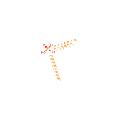 O=P(O)(O)O.P.P.P.P.P.P.P.P.P.P.P.P.P.P.P